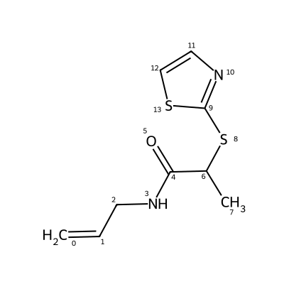 C=CCNC(=O)C(C)Sc1nccs1